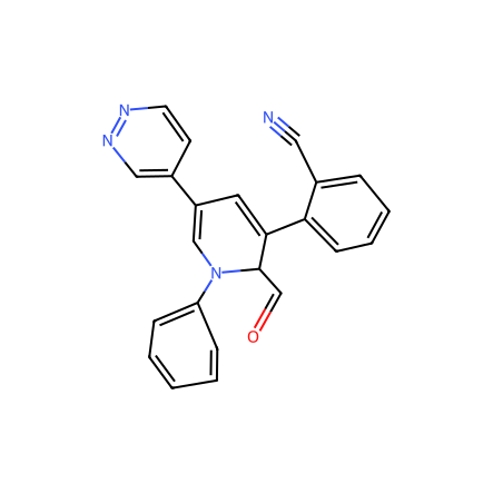 N#Cc1ccccc1C1=CC(c2ccnnc2)=CN(c2ccccc2)C1C=O